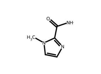 Cn1ccnc1C([NH])=O